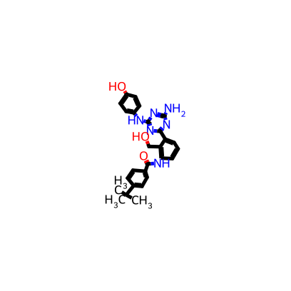 CC(C)(C)c1ccc(C(=O)Nc2cccc(-c3nc(N)nc(Nc4ccc(O)cc4)n3)c2CO)cc1